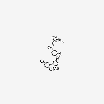 COc1ccc(Cl)cc1-c1cccc(-n2cnc3cc(C(=O)/C=C/N(C)C)ccc32)c1